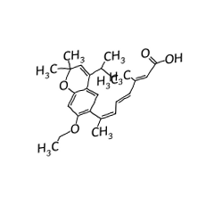 CCOc1cc2c(cc1\C(C)=C/C=C/C(C)=C/C(=O)O)C(C(C)C)=CC(C)(C)O2